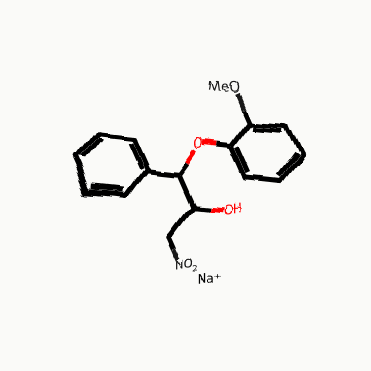 COc1ccccc1OC(c1ccccc1)C(O)C[N+](=O)[O-].[Na+]